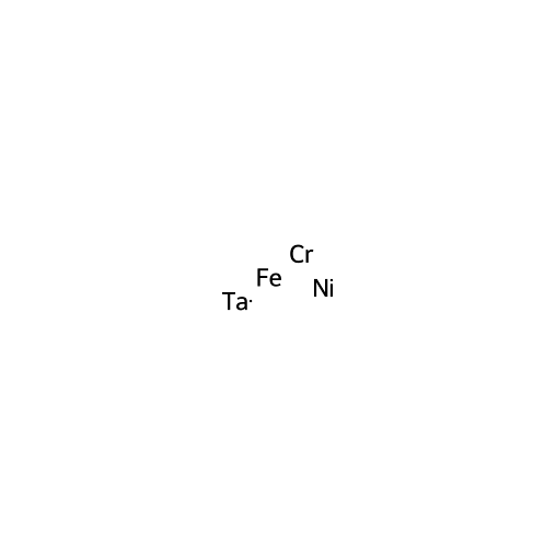 [Cr].[Fe].[Ni].[Ta]